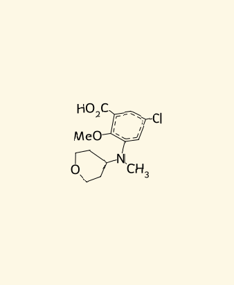 COc1c(C(=O)O)cc(Cl)cc1N(C)C1CCOCC1